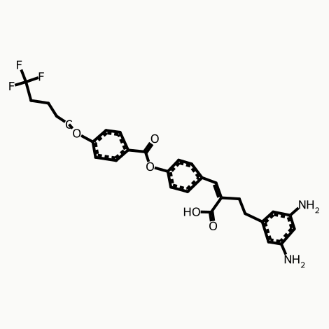 Nc1cc(N)cc(CCC(=Cc2ccc(OC(=O)c3ccc(OCCCCC(F)(F)F)cc3)cc2)C(=O)O)c1